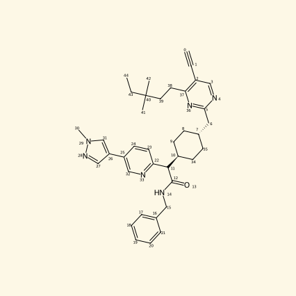 C#Cc1cnc(C[C@H]2CC[C@H](C(C(=O)NCc3ccccc3)c3ccc(-c4cnn(C)c4)cn3)CC2)nc1CCC(C)(C)CC